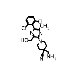 Cc1nc(N2CCC(C#N)(CN)CC2)c(CO)nc1-c1c(Cl)cccc1Cl